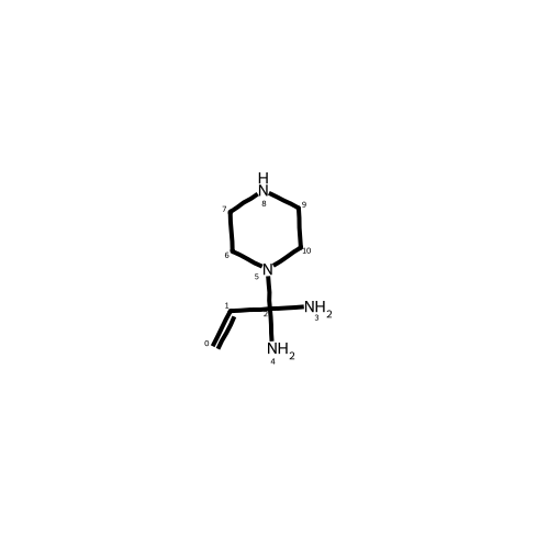 C=CC(N)(N)N1CCNCC1